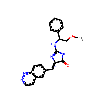 COCC(NC1=N/C(=C\c2ccc3nnccc3c2)C(=O)N1)c1ccccc1